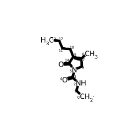 [CH2]CNC(=O)N1CC(C)=C(CCCC)C1=O